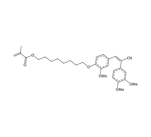 C=C(C)C(=O)OCCCCCCCCOc1ccc(C=C(C#N)c2ccc(OC)c(OC)c2)cc1OC